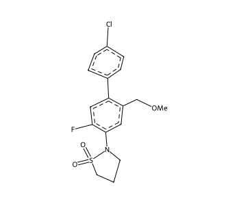 COCc1cc(N2CCCS2(=O)=O)c(F)cc1-c1ccc(Cl)cc1